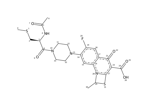 CSC[C@@H](NC(C)=O)C(=O)N1CCN(c2cc3c(cc2F)c(=O)c(C(=O)O)c2n3C(C)S2)CC1